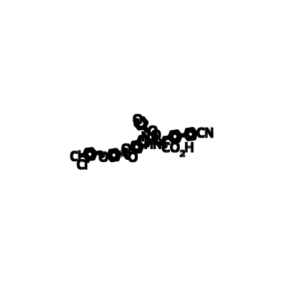 N#Cc1ccc(-c2ccc(CC(NC(=O)[C@@H]3Cc4cc5c(cc4CN3C(=O)C3CCOCC3)O[C@@H](c3ccc(OCc4ccc(Cl)c(Cl)c4)cc3)CO5)C(=O)O)cc2)cc1